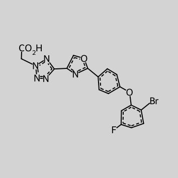 O=C(O)Cn1nnc(-c2coc(-c3ccc(Oc4cc(F)ccc4Br)cc3)n2)n1